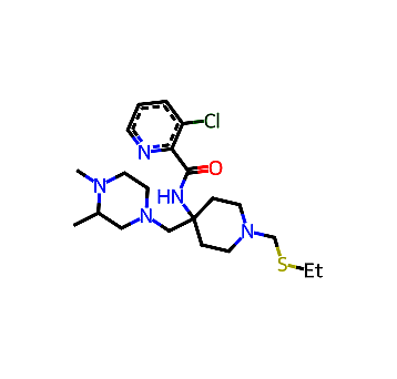 CCSCN1CCC(CN2CCN(C)C(C)C2)(NC(=O)c2ncccc2Cl)CC1